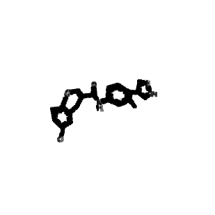 Cc1cc(NC(=O)C2COc3ccc(Cl)cc3C2)ccc1-c1cn[nH]c1